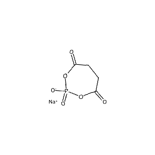 O=C1CCC(=O)OP(=O)([O-])O1.[Na+]